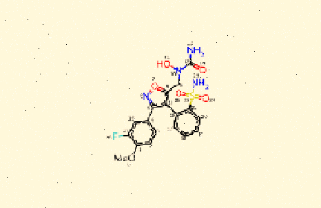 COc1ccc(-c2noc(CN(O)C(N)=O)c2-c2ccccc2S(N)(=O)=O)cc1F